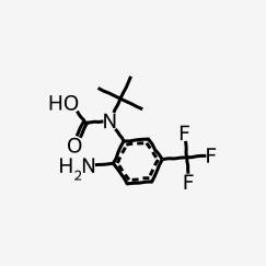 CC(C)(C)N(C(=O)O)c1cc(C(F)(F)F)ccc1N